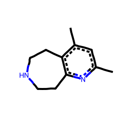 Cc1cc(C)c2c(n1)CCNCC2